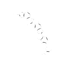 Cc1nc2cc(NC(=O)c3ccc4nc(-c5c(C)cc(OCC(N)=O)cc5C)[nH]c4c3)ccc2s1